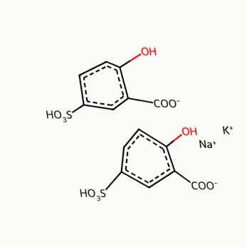 O=C([O-])c1cc(S(=O)(=O)O)ccc1O.O=C([O-])c1cc(S(=O)(=O)O)ccc1O.[K+].[Na+]